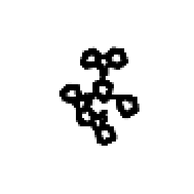 c1ccc(-c2cc(-n3c4ccccc4c4ccccc43)cc(-n3c4ccccc4c4ccc5c6ccccc6sc5c43)c2)cc1